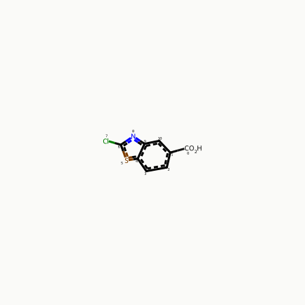 O=C(O)c1ccc2sc(Cl)nc2c1